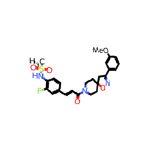 COc1cccc(C2=NOC3(CCN(C(=O)C=Cc4ccc(NS(C)(=O)=O)c(F)c4)CC3)C2)c1